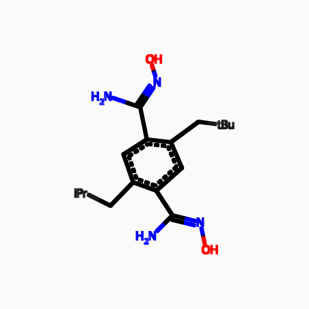 CC(C)Cc1cc(/C(N)=N/O)c(CC(C)(C)C)cc1/C(N)=N/O